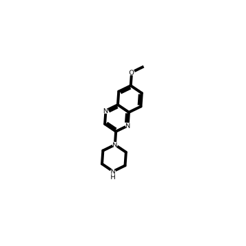 COc1ccc2nc(N3CCNCC3)cnc2c1